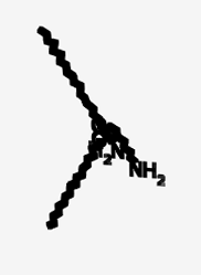 CCCCCCCCC=CCCCCCCCCOc1ccc(CC(N)CCCN)cc1OCCCCCCCCC=CCCCCCCCC